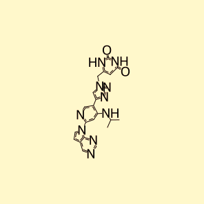 CC(C)Nc1cc(-n2ccc3cncnc32)ncc1-c1cn(Cc2cc(=O)[nH]c(=O)[nH]2)nn1